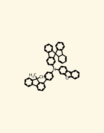 CC1(C)c2ccccc2-c2cccc(-c3ccc(N(c4ccc5c(c4)C4(c6ccccc6-5)c5ccccc5C5C=CC=CC54)c4ccc5c(c4)oc4ccccc45)cc3)c21